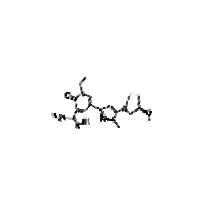 CCn1cc(-c2cc(N3CC[C@@H](OC)C3)n(C)n2)c2[nH]nc(N)c2c1=O